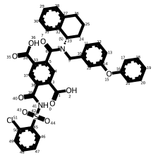 O=C(O)c1cc(C(=O)N(Cc2cccc(Oc3ccccc3)c2)[C@H]2CCCc3ccccc32)c(C(=O)O)cc1C(=O)NS(=O)(=O)c1ccccc1Cl